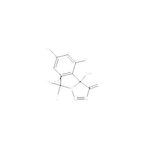 CC1(c2c(F)cc(Cl)cc2F)C(=O)N=NN1C(F)(F)F